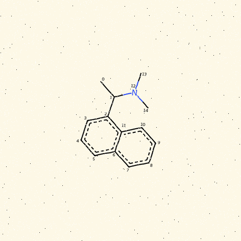 CC(c1cc[c]c2ccccc12)N(C)C